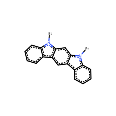 CCn1c2ccccc2c2cc3c4ccccc4n(CC)c3cc21